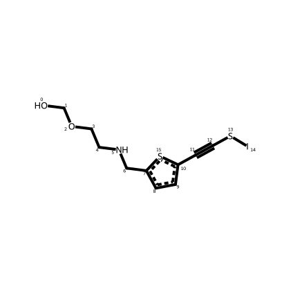 OCOCCNCc1ccc(C#CSI)s1